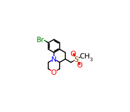 CS(=O)(=O)CC1Cc2ccc(Br)cc2N2CCOCC12